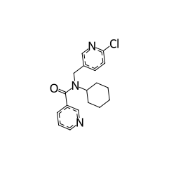 O=C(c1cccnc1)N(Cc1ccc(Cl)nc1)C1CCCCC1